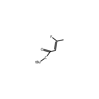 C/C(F)=C/C(=O)CC(C)(C)C